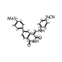 CSc1ccc(-c2ccc3c(c2)C(=CNc2ccc(CC#N)cc2)C(=O)NC3=O)cc1